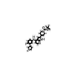 CN1CC[C@H](c2cc(Nc3ccnc4[nH]c(C5=CCN(C(=O)NC(C)(C)C)CC5)cc34)ccc2F)C1